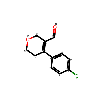 O=CC1=C(c2ccc(Cl)cc2)CCOC1